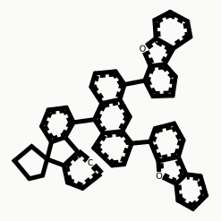 c1ccc2c(c1)-c1c(-c3c4cccc(-c5cccc6c5oc5ccccc56)c4cc4c(-c5cccc6c5oc5ccccc56)cccc34)cccc1C21CCCC1